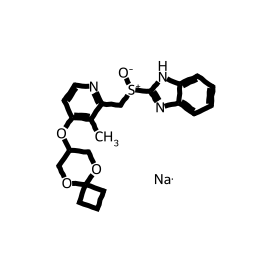 Cc1c(OC2COC3(CCC3)OC2)ccnc1C[S+]([O-])c1nc2ccccc2[nH]1.[Na]